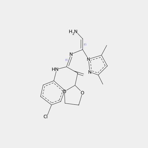 C=C(/C(=N\C(=C/N)n1nc(C)cc1C)Nc1ccc(Cl)cc1)C1OCCO1